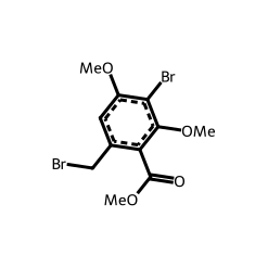 COC(=O)c1c(CBr)cc(OC)c(Br)c1OC